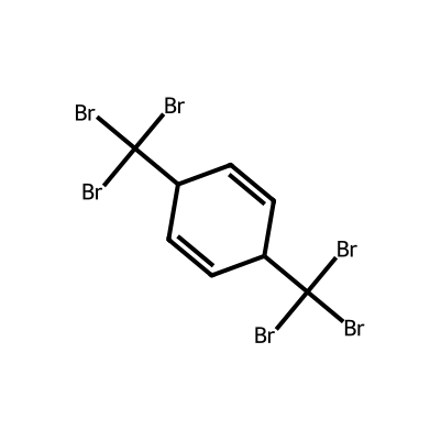 BrC(Br)(Br)C1C=CC(C(Br)(Br)Br)C=C1